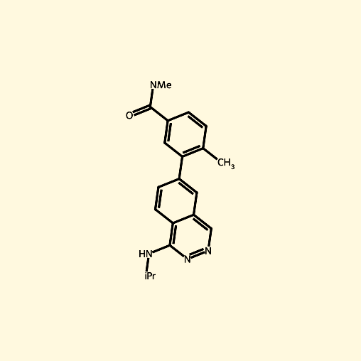 CNC(=O)c1ccc(C)c(-c2ccc3c(NC(C)C)nncc3c2)c1